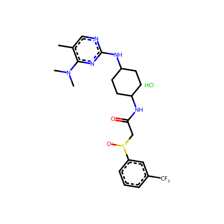 Cc1cnc(NC2CCC(NC(=O)C[S+]([O-])c3cccc(C(F)(F)F)c3)CC2)nc1N(C)C.Cl